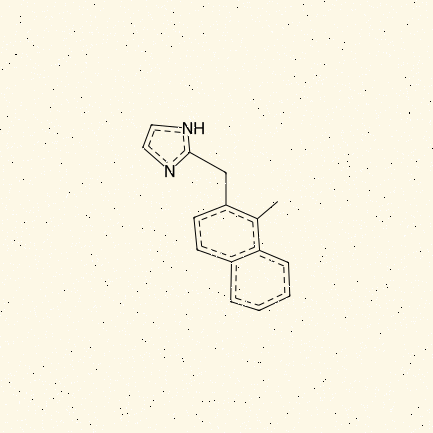 Cc1c(Cc2ncc[nH]2)ccc2ccccc12